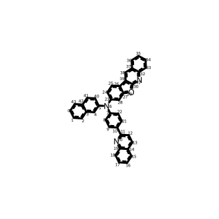 c1ccc2cc(N(c3ccc(-c4ccc5ccccc5n4)cc3)c3ccc4c(c3)oc3nc5ccccc5cc34)ccc2c1